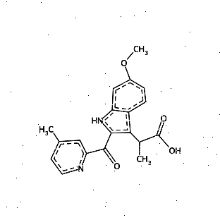 COc1ccc2c(C(C)C(=O)O)c(C(=O)c3cc(C)ccn3)[nH]c2c1